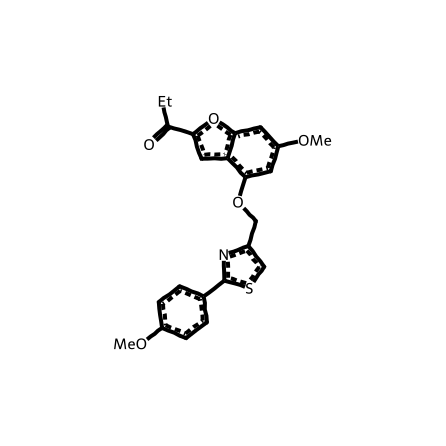 CCC(=O)c1cc2c(OCc3csc(-c4ccc(OC)cc4)n3)cc(OC)cc2o1